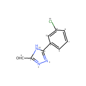 O=Cc1nnc(-c2cccc(Cl)c2)[nH]1